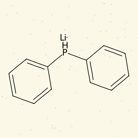 [Li].c1ccc(Pc2ccccc2)cc1